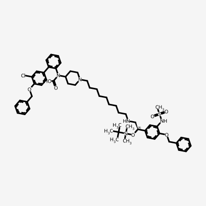 CC(C)(C)[Si](C)(C)O[C@@H](CNCCCCCCCCCN1CCC(N(C(=O)O)c2ccccc2-c2ccc(OCc3ccccc3)c(Cl)c2)CC1)c1ccc(OCc2ccccc2)c(NS(C)(=O)=O)c1